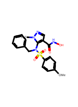 COc1ccc(S(=O)(=O)N(Cc2ccccc2)c2c(C(=O)NO)cnn2C)cc1